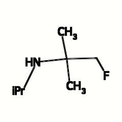 CC(C)NC(C)(C)CF